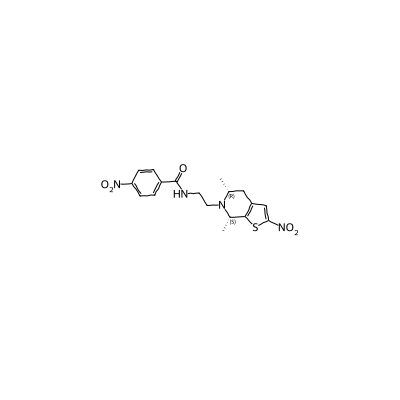 C[C@@H]1Cc2cc([N+](=O)[O-])sc2[C@H](C)N1CCNC(=O)c1ccc([N+](=O)[O-])cc1